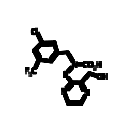 O=C(O)N(Cc1cc(Cl)cc(C(F)(F)F)c1)Sc1nccnc1CO